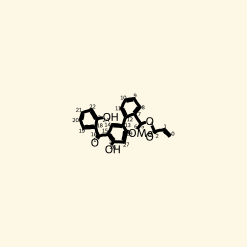 C=CC(=O)OC(C)c1ccccc1-c1cc(C(=O)c2ccccc2O)c(O)cc1OC